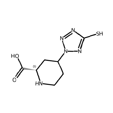 O=C(O)[C@@H]1CC(n2nnc(S)n2)CCN1